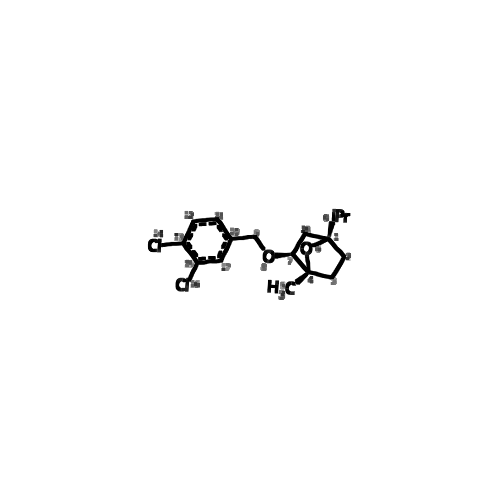 CC(C)[C@@]12CC[C@@](C)(O1)[C@@H](OCc1ccc(Cl)c(Cl)c1)C2